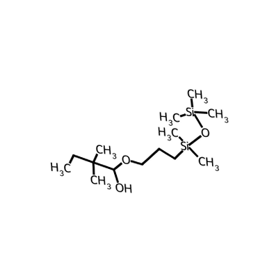 CCC(C)(C)C(O)OCCC[Si](C)(C)O[Si](C)(C)C